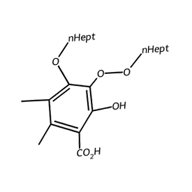 CCCCCCCOOc1c(O)c(C(=O)O)c(C)c(C)c1OCCCCCCC